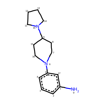 Nc1cccc(N2CCC(N3CCCC3)CC2)c1